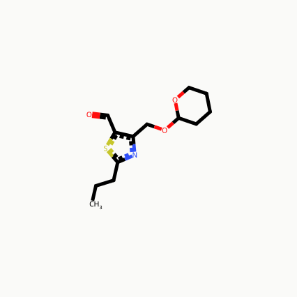 CCCc1nc(COC2CCCCO2)c(C=O)s1